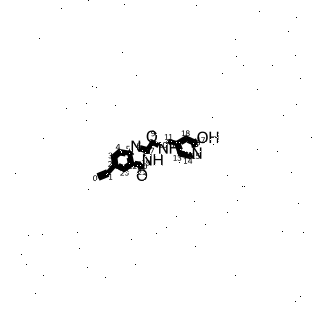 C#Cc1ccc2nc(C(=O)NCc3ccnc(O)c3)[nH]c(=O)c2c1